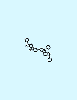 c1ccc(-n2ncc3c4[nH]c5ccc(-c6ccc7c(c6)c6ccc8c(cnn8-c8ccccc8)c6n7-c6ccccc6)cc5c4ccc32)cc1